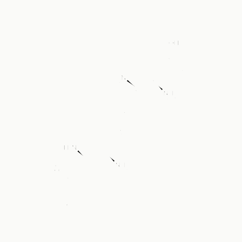 N[C@H](CSSC[C@@H](N)[C@H](N)CS(=O)O)[C@H](N)CS(=O)O